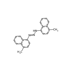 Cc1ccc(N=NNc2ccc(C)c3ccccc23)c2ccccc12